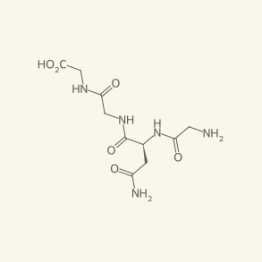 NCC(=O)N[C@@H](CC(N)=O)C(=O)NCC(=O)NCC(=O)O